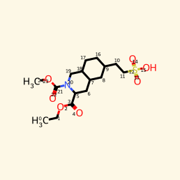 CCOC(=O)C1CC2CC(CCS(=O)(=O)O)CCC2CN1C(=O)OC